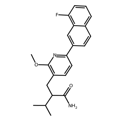 COc1nc(-c2ccc3cccc(F)c3c2)ccc1CC(C(N)=O)C(C)C